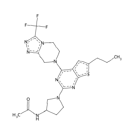 CCCc1cc2c(N3CCn4c(nnc4C(F)(F)F)C3)nc(N3CCC(NC(C)=O)C3)nc2s1